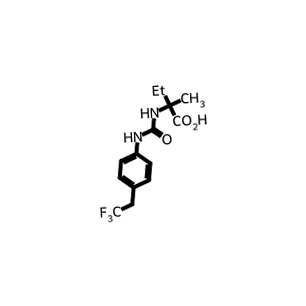 CCC(C)(NC(=O)Nc1ccc(CC(F)(F)F)cc1)C(=O)O